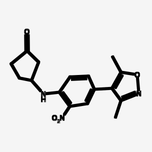 Cc1noc(C)c1-c1ccc(NC2CCC(=O)C2)c([N+](=O)[O-])c1